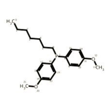 CCCCCCCP(c1ccc(OC)cc1)c1ccc(OC)cc1